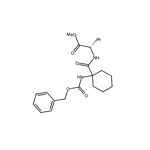 COC(=O)[C@@H](NC(=O)C1(NC(=O)OCc2ccccc2)CCCCC1)C(C)C